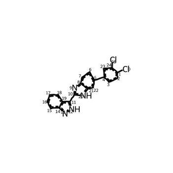 Clc1ccc(-c2ccc3nc(-c4[nH]nc5ccccc45)[nH]c3c2)cc1Cl